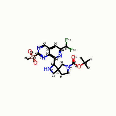 CC(C)(C)OC(=O)N1CCC2(CNC2c2nc(C(F)F)cc3cnc(S(C)(=O)=O)nc23)C1